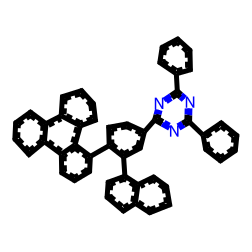 c1ccc(-c2nc(-c3ccccc3)nc(-c3ccc(-c4cccc5c6ccccc6c6ccccc6c45)c(-c4cccc5ccccc45)c3)n2)cc1